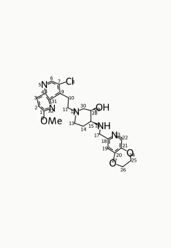 COc1ccc2ncc(Cl)c(CCN3CC[C@H](NCc4cc5c(cn4)OCCO5)[C@H](O)C3)c2n1